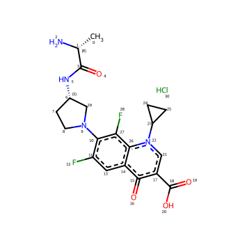 C[C@@H](N)C(=O)N[C@H]1CCN(c2c(F)cc3c(=O)c(C(=O)O)cn(C4CC4)c3c2F)C1.Cl